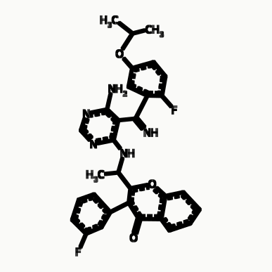 CC(C)Oc1ccc(F)c(C(=N)c2c(N)ncnc2NC(C)c2oc3ccccc3c(=O)c2-c2cccc(F)c2)c1